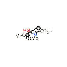 COc1cc([C@@H](O)[C@@H](CCCc2ccccc2)Cn2cc(CCC(=O)O)cn2)cc(OC)c1C